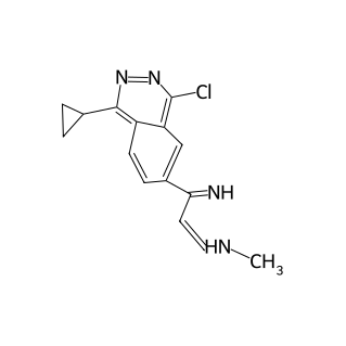 CN/C=C\C(=N)c1ccc2c(C3CC3)nnc(Cl)c2c1